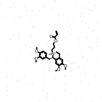 C=CC(=O)OCCC[N@+]1(C)CCc2cc(OC)c(OC)cc2[C@H]1Cc1ccc(OC)c(OC)c1